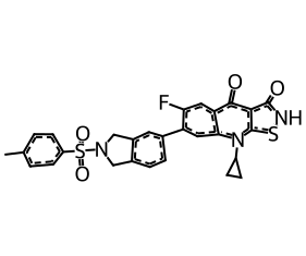 Cc1ccc(S(=O)(=O)N2Cc3ccc(-c4cc5c(cc4F)c(=O)c4c(=O)[nH]sc4n5C4CC4)cc3C2)cc1